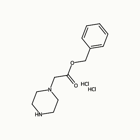 Cl.Cl.O=C(CN1CCNCC1)OCc1ccccc1